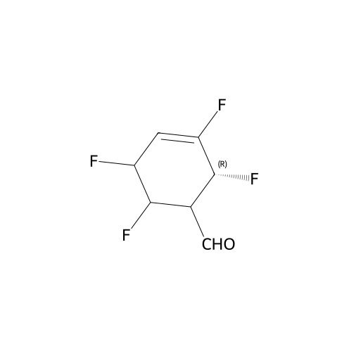 O=CC1C(F)C(F)C=C(F)[C@@H]1F